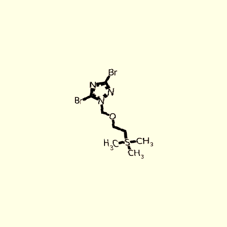 CS(C)(C)CCOCn1nc(Br)nc1Br